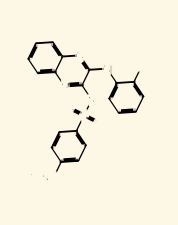 CCc1ccccc1Nc1nc2ccccc2nc1NS(=O)(=O)c1ccc(NC(C)=O)cc1